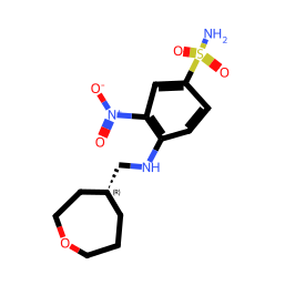 NS(=O)(=O)c1ccc(NC[C@@H]2CCCOCC2)c([N+](=O)[O-])c1